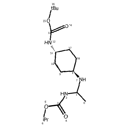 CC(NC(=O)OC(C)C)N[C@H]1CC[C@H](NC(=O)OC(C)(C)C)CC1